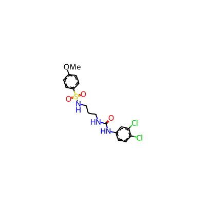 COc1ccc(S(=O)(=O)NCCCNC(=O)Nc2ccc(Cl)c(Cl)c2)cc1